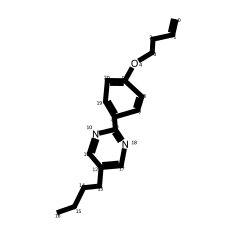 C=CCCOc1ccc(-c2ncc(CCCC)cn2)cc1